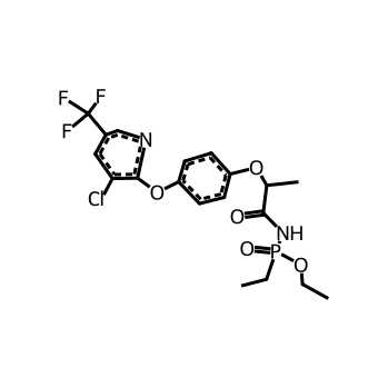 CCOP(=O)(CC)NC(=O)C(C)Oc1ccc(Oc2ncc(C(F)(F)F)cc2Cl)cc1